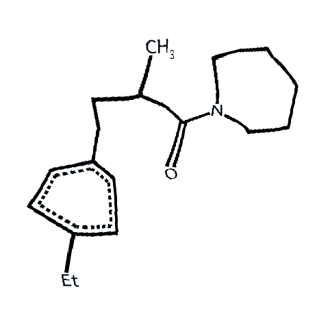 CCc1ccc(CC(C)C(=O)N2CCCCC2)cc1